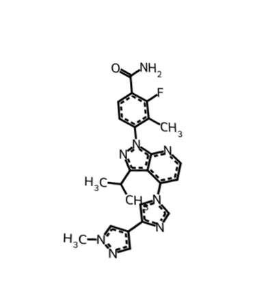 Cc1c(-n2nc(C(C)C)c3c(-n4cnc(-c5cnn(C)c5)c4)ccnc32)ccc(C(N)=O)c1F